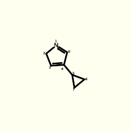 C1=NCC=C1C1CC1